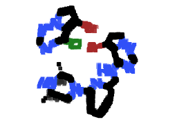 C[C@@H]1CN(c2cccc(CNc3ncnn4ccc(Br)c34)n2)C[C@H](C)N1.Clc1ncnn2ccc(Br)c12